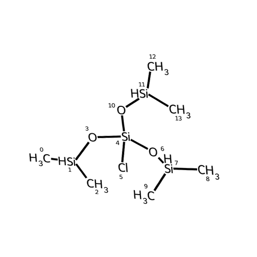 C[SiH](C)O[Si](Cl)(O[SiH](C)C)O[SiH](C)C